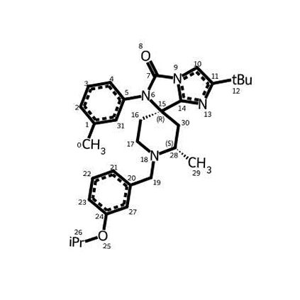 Cc1cccc(N2C(=O)n3cc(C(C)(C)C)nc3[C@]23CCN(Cc2cccc(OC(C)C)c2)[C@@H](C)C3)c1